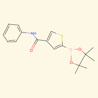 CC1(C)OB(c2cc(C(=O)Nc3ccccc3)cs2)OC1(C)C